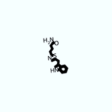 NC(=O)CCCc1ncc(Cc2c[nH]c3ccccc23)s1